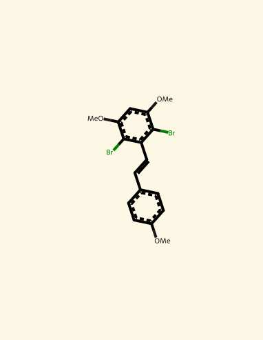 COc1ccc(/C=C/c2c(Br)c(OC)cc(OC)c2Br)cc1